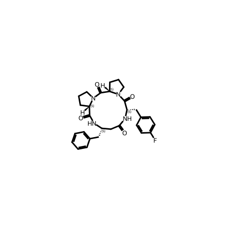 O=C1C[C@H](Cc2ccccc2)NC(=O)[C@@H]2CCCN2C(=O)[C@@H]2CCCN2C(=O)[C@H](Cc2ccc(F)cc2)N1